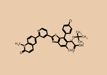 Cc1cc2nc(-c3ccnc(-c4ccc5c(ccc(=O)n5C)c4)c3)sc2c(-c2ccc(Cl)cc2)c1[C@H](OC(C)(C)C)C(=O)O